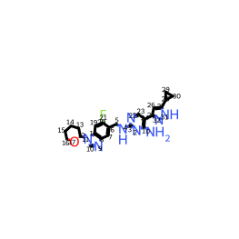 Nc1nc(NCc2cc3ncn(C4CCCCO4)c3cc2F)ncc1-c1cc(C2CC2)[nH]n1